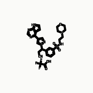 N#CCC(c1cccc(S(=O)(=O)NCCN2CCOCC2)c1)n1cc(-c2ncnc3[nH]ccc23)cn1.O=C(O)C(F)(F)F